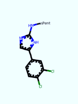 CCCCCNc1ncc(-c2ccc(Cl)c(Cl)c2)[nH]1